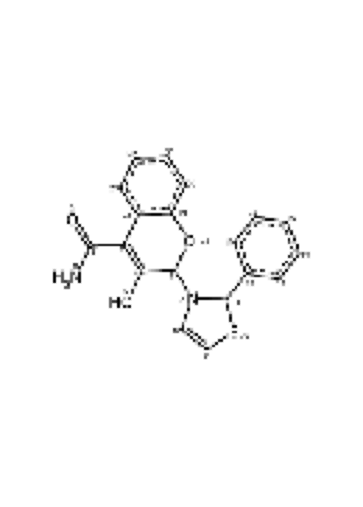 NC(=O)C1=C(O)C(N2C=CSC2c2ccccc2)Oc2ccccc21